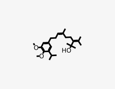 COc1cc(CCC=C(C)CCC(=C(C)C)C(C)(C)O)cc(C(C)C)c1OC